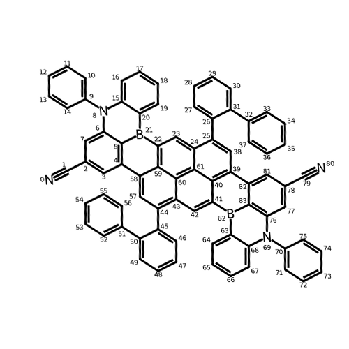 N#Cc1cc2c3c(c1)N(c1ccccc1)c1ccccc1B3c1cc3c(-c4ccccc4-c4ccccc4)cc4c5c(cc6c(-c7ccccc7-c7ccccc7)cc-2c1c6c35)B1c2ccccc2N(c2ccccc2)c2cc(C#N)cc-4c21